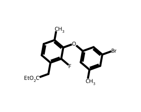 CCOC(=O)Cc1ccc(C)c(Oc2cc(C)cc(Br)c2)c1F